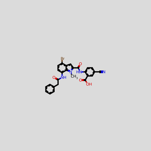 Cn1c(C(=O)Nc2ccc(C#N)cc2C(=O)O)cc2c(Br)ccc(NC(=O)Cc3ccccc3)c21